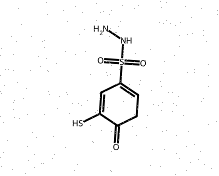 NNS(=O)(=O)C1=CCC(=O)C(S)=C1